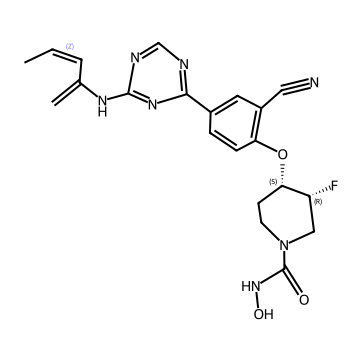 C=C(/C=C\C)Nc1ncnc(-c2ccc(O[C@H]3CCN(C(=O)NO)C[C@H]3F)c(C#N)c2)n1